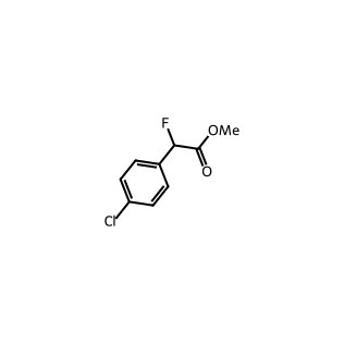 COC(=O)C(F)c1ccc(Cl)cc1